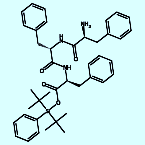 CC(C)(C)[Si](OC(=O)[C@H](Cc1ccccc1)NC(=O)[C@H](Cc1ccccc1)NC(=O)[C@@H](N)Cc1ccccc1)(c1ccccc1)C(C)(C)C